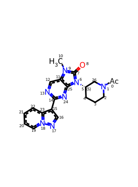 CC(=O)N1CCC[C@H](n2c(=O)n(C)c3cnc(-c4cnn5ccccc45)nc32)C1